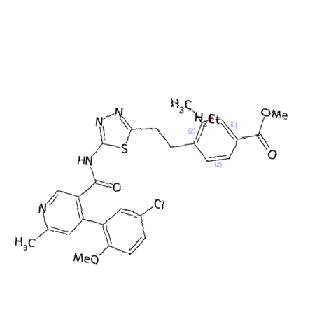 C\C=C(/C=C\C(CCc1nnc(NC(=O)c2cnc(C)cc2-c2cc(Cl)ccc2OC)s1)=C(\C)CC)C(=O)OC